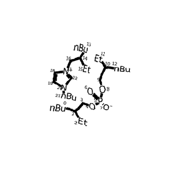 CCCCC(CC)COP(=O)([O-])OCC(CC)CCCC.CCCCC(CC)C[n+]1ccn(CCCC)c1